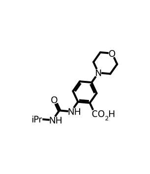 CC(C)NC(=O)Nc1ccc(N2CCOCC2)cc1C(=O)O